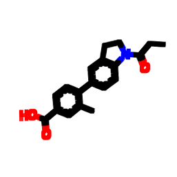 CCC(=O)N1CCc2cc(-c3ccc(C(=O)O)cc3C)ccc21